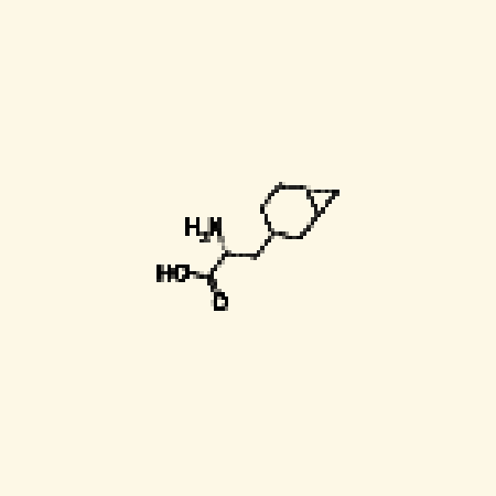 N[C@H](CC1CCC2CC2C1)C(=O)O